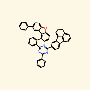 c1ccc(-c2ccc3oc4cccc(-c5ccccc5-c5nc(-c6ccccc6)nc(-c6ccc7c(c6)-c6cccc8cccc-7c68)n5)c4c3c2)cc1